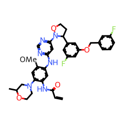 C=CC(=O)Nc1cc(Nc2cc(N3OCCC3c3cc(F)cc(OCc4cccc(F)c4)c3)ncn2)c(OC)cc1N1CCOC(C)C1